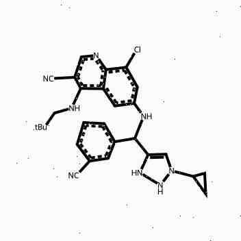 CC(C)(C)CNc1c(C#N)cnc2c(Cl)cc(NC(C3=CN(C4CC4)NN3)c3cccc(C#N)c3)cc12